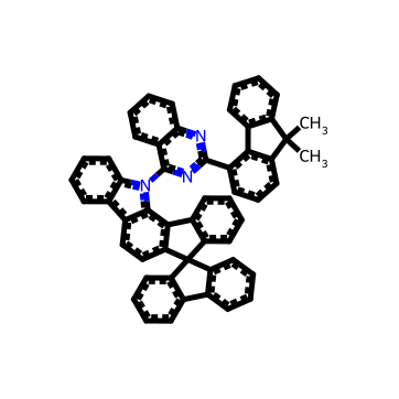 CC1(C)c2ccccc2-c2c(-c3nc(-n4c5ccccc5c5ccc6c(c54)-c4ccccc4C64c5ccccc5-c5ccccc54)c4ccccc4n3)cccc21